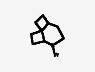 CC(C)N1CCC2CCC23CCC13